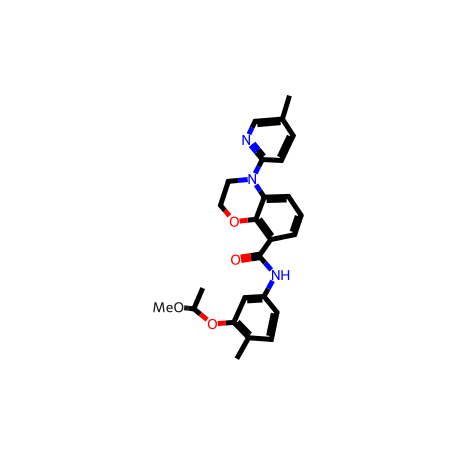 COC(C)Oc1cc(NC(=O)c2cccc3c2OCCN3c2ccc(C)cn2)ccc1C